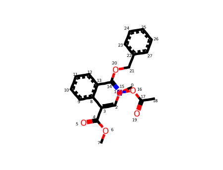 CO/C=C(/C(=O)OC)c1ccccc1C(=NOC(C)=O)OCc1ccccc1